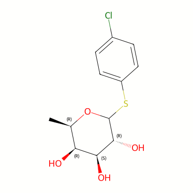 C[C@H]1OC(Sc2ccc(Cl)cc2)[C@H](O)[C@@H](O)[C@H]1O